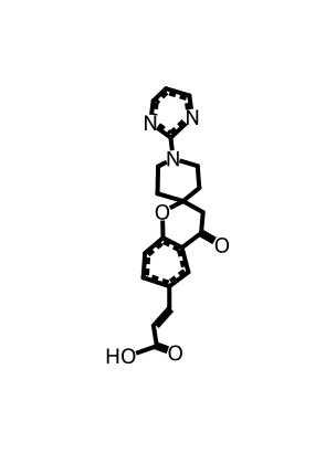 O=C(O)C=Cc1ccc2c(c1)C(=O)CC1(CCN(c3ncccn3)CC1)O2